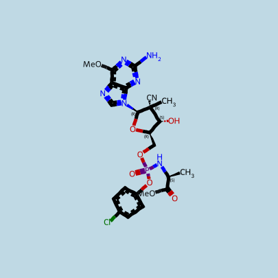 COC(=O)[C@H](C)NP(=O)(OC[C@H]1O[C@@H](n2cnc3c(OC)nc(N)nc32)[C@](C)(C#N)[C@@H]1O)Oc1ccc(Cl)cc1